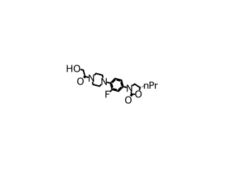 CCC[C@H]1CN(c2ccc(N3CCN(C(=O)CO)CC3)c(F)c2)C(=O)O1